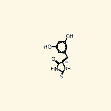 O=C1NC(=S)N/C1=C/c1cc(O)cc(O)c1